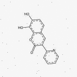 O=c1oc2c(O)c(O)ccc2cc1-c1ccccn1